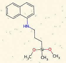 CO[Si](C)(CCCNc1cccc2ccccc12)OC